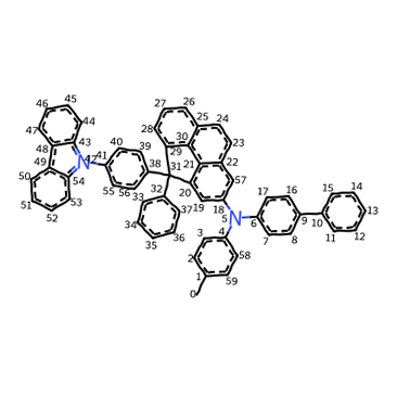 Cc1ccc(N(c2ccc(-c3ccccc3)cc2)c2cc3c4c(ccc5cccc(c54)C3(c3ccccc3)c3ccc(-n4c5ccccc5c5ccccc54)cc3)c2)cc1